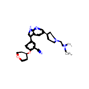 CN(C)CCN1CC=C(c2cnc3[nH]cc(-c4ccc(OC5CCOCC5)c(C#N)c4)c3c2)CC1